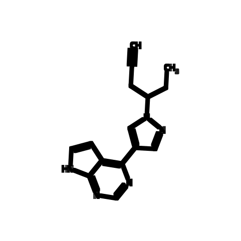 C#CCC(CC)n1cc(-c2ncnc3[nH]ccc23)cn1